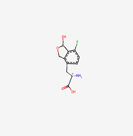 N[C@@H](Cc1ccc(F)c2c1COB2O)C(=O)O